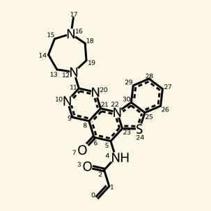 C=CC(=O)Nc1c(=O)c2cnc(N3CCCN(C)CC3)nc2n2c1sc1ccccc12